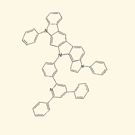 c1ccc(-c2cc(-c3ccccc3)nc(-c3cccc(-n4c5cc6c(cc5c5ccc7c(ccn7-c7ccccc7)c54)c4ccccc4n6-c4ccccc4)c3)c2)cc1